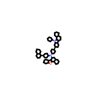 c1ccc(-n2c3cc(-c4ccc(N(c5ccc(-c6cccc7ccccc67)cc5)c5cc6ccccc6c6oc7ccccc7c56)cc4)ccc3c3ccc4ccccc4c32)cc1